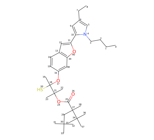 CCCCn1cc(CC)cc1-c1cc2ccc(OC(C)(S)C(C)(C)OC(=O)C(C)(CC(C)(C)C)C(C)(C)C)cc2o1